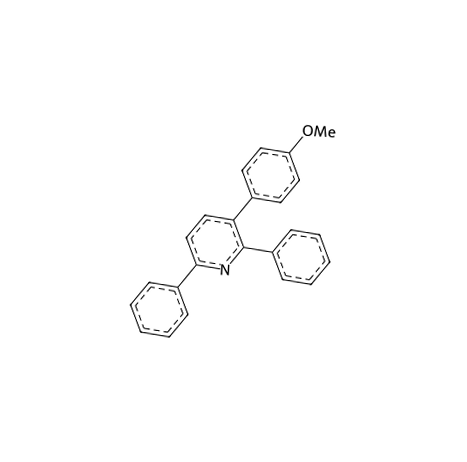 COc1ccc(-c2ccc(-c3ccccc3)nc2-c2ccccc2)cc1